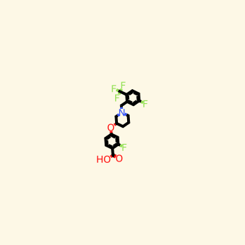 O=C(O)c1ccc(OC2CCCN(Cc3cc(F)ccc3C(F)(F)F)C2)cc1F